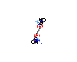 C[C@@]12CCCCC[C@@H](Cc3c(F)cc(OC(=O)CCCCCCC(=O)Oc4cc(F)c5c(c4)[C@@]4(C)CCCCC[C@@H](C5)[C@@H]4N)cc31)[C@@H]2N